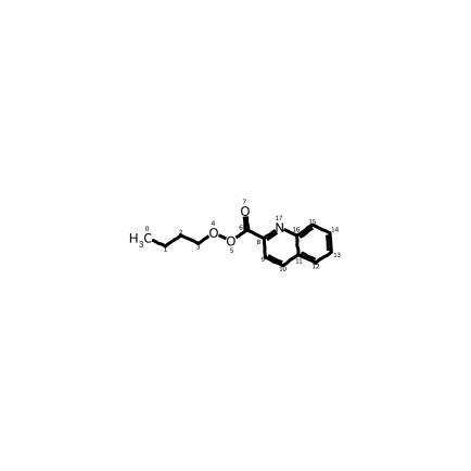 CCCCOOC(=O)c1ccc2ccccc2n1